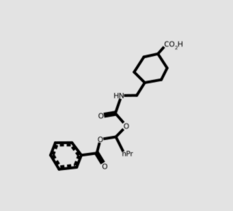 CCCC(OC(=O)NCC1CCC(C(=O)O)CC1)OC(=O)c1ccccc1